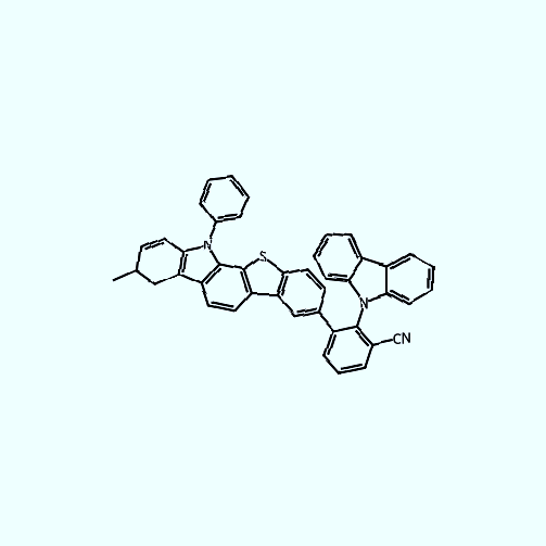 CC1C=Cc2c(c3ccc4c5cc(-c6cccc(C#N)c6-n6c7ccccc7c7ccccc76)ccc5sc4c3n2-c2ccccc2)C1